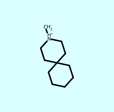 [CH2-][NH+]1CCC2(CCCCC2)CC1